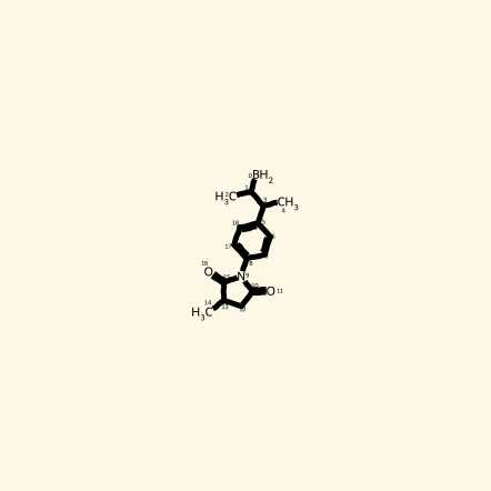 BC(C)C(C)c1ccc(N2C(=O)CC(C)C2=O)cc1